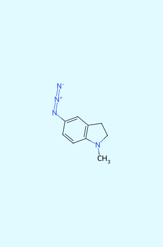 CN1CCc2cc(N=[N+]=[N-])ccc21